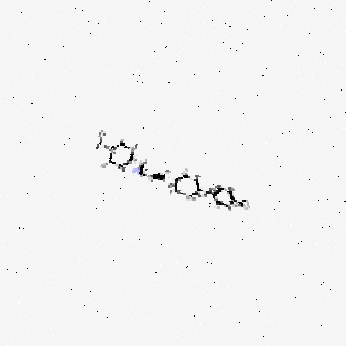 CC[C@H]1CC[C@H](/C=C/C#C[C@H]2CC[C@H](c3ccc(Cl)cc3)CC2)CC1